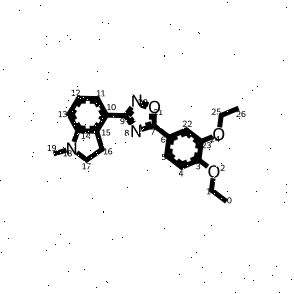 CCOc1ccc(-c2nc(-c3cccc4c3CCN4C)no2)cc1OCC